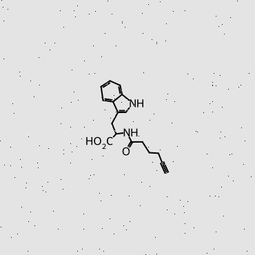 C#CCCCC(=O)NC(Cc1c[nH]c2ccccc12)C(=O)O